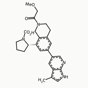 COCC(=O)N1CCc2cc(-c3cnc4[nH]cc(C)c4c3)cc([C@@H]3CCCN3C(=O)O)c2C1